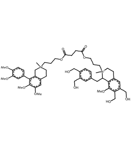 COc1ccc(-c2c3c(cc(OC)c2OC)CC[N+](C)(CCCOC(=O)CCC(=O)OCCC[N+]2(C)CCc4cc(CO)c(CO)c(OC)c4C2Cc2ccc(CO)c(CO)c2)C3)cc1OC